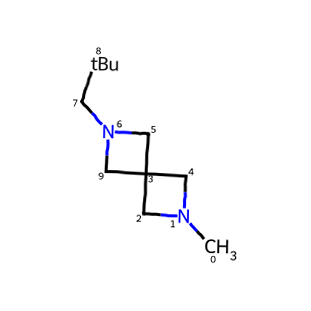 CN1CC2(C1)CN(CC(C)(C)C)C2